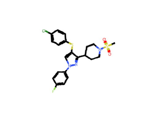 CS(=O)(=O)N1CCC(c2nn(-c3ccc(F)cc3)cc2Sc2ccc(Cl)cc2)CC1